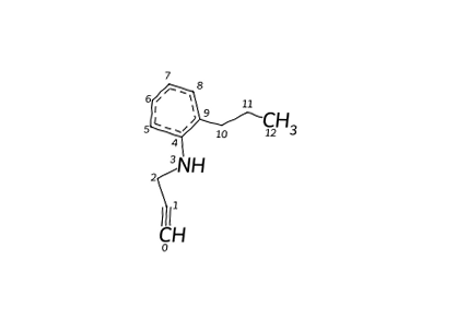 C#CCNc1ccccc1CCC